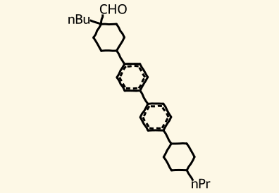 CCCCC1(C=O)CCC(c2ccc(-c3ccc(C4CCC(CCC)CC4)cc3)cc2)CC1